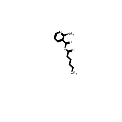 CCCCCC(=O)OC(=O)c1cccnc1N